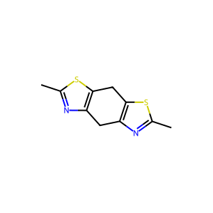 Cc1nc2c(s1)Cc1sc(C)nc1C2